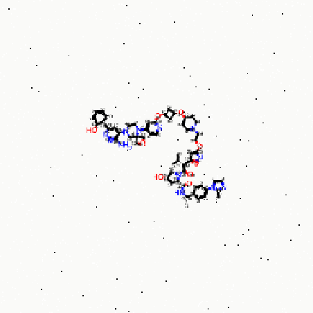 Cc1nccn1-c1ccc([C@H](C)NC(=O)[C@@H]2C[C@@H](O)CN2C(=O)[C@@H](c2cc(OCCN3CCC(O[C@H]4C[C@H](Oc5cc(N6CCN(c7cc(-c8ccccc8O)nnc7N)CC67COC7)ccn5)C4)CC3)no2)C(C)C)cc1